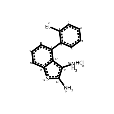 CCc1ccccc1-c1cccc2sc(N)c(N)c12.Cl